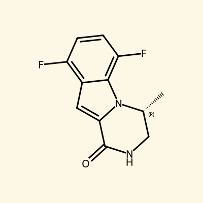 C[C@@H]1CNC(=O)c2cc3c(F)ccc(F)c3n21